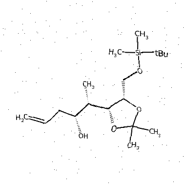 C=CC[C@@H](O)[C@H](C)[C@H]1OC(C)(C)O[C@H]1CO[Si](C)(C)C(C)(C)C